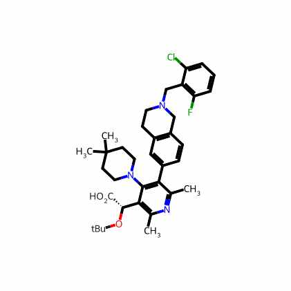 Cc1nc(C)c([C@H](OC(C)(C)C)C(=O)O)c(N2CCC(C)(C)CC2)c1-c1ccc2c(c1)CCN(Cc1c(F)cccc1Cl)C2